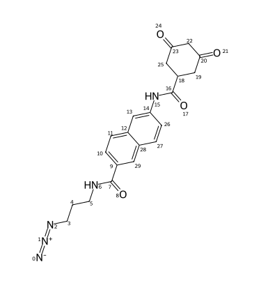 [N-]=[N+]=NCCCNC(=O)c1ccc2cc(NC(=O)C3CC(=O)CC(=O)C3)ccc2c1